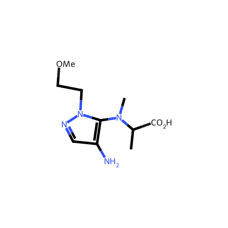 COCCn1ncc(N)c1N(C)C(C)C(=O)O